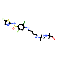 CC(C)(CO)NCC(C)(C)NCCCCNc1cc(F)c([S+]([O-])Nc2ncc(F)s2)cc1Cl